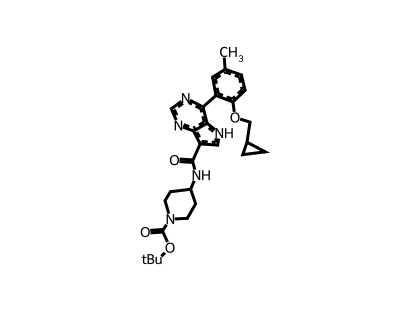 Cc1ccc(OCC2CC2)c(-c2ncnc3c(C(=O)NC4CCN(C(=O)OC(C)(C)C)CC4)c[nH]c23)c1